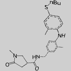 CCCCSc1ccc(Nc2ccc(CNC(=O)C3CC(=O)N(C)C3)cc2C)c(C)c1